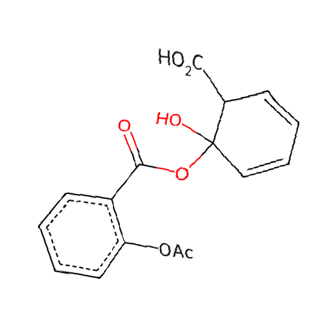 CC(=O)Oc1ccccc1C(=O)OC1(O)C=CC=CC1C(=O)O